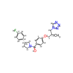 CC(COc1ccc(C(=O)N2CC[C@H](c3ccc(F)cc3)C2)cc1)Cn1cnnn1